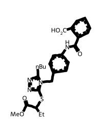 CCCCc1nnc(SC(CC)C(=O)OC)n1Cc1ccc(NC(=O)c2ccccc2C(=O)O)cc1